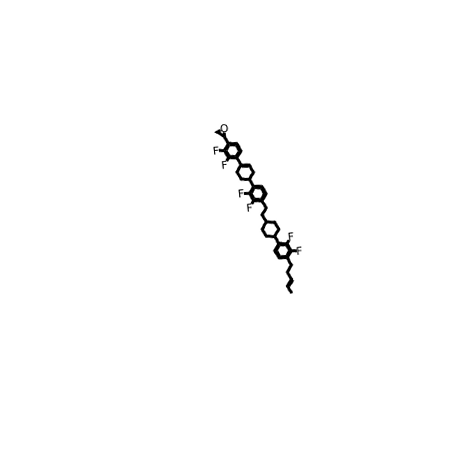 C/C=C/CCc1ccc(C2CCC(CCc3ccc(C4CC=C(c5ccc(C6CO6)c(F)c5F)CC4)c(F)c3F)CC2)c(F)c1F